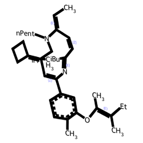 C\C=C(/C=C\C(=N\C(=C/C(C)=C1CCC1)c1ccc(C)c(O/C(C)=C(\C)CC)c1)C(C)CC)N(CCCCC)CC(C)C